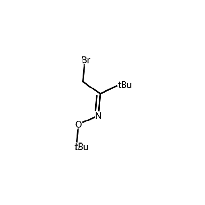 CC(C)(C)ON=C(CBr)C(C)(C)C